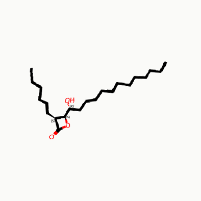 CCCCCCCCCCCC[C@@H](O)[C@H]1OC(=O)[C@H]1CCCCCC